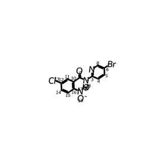 O=C(Nc1ccc(Br)cn1)c1cc(Cl)ccc1[N+](=O)[O-]